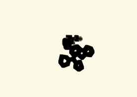 C1=CCC(C(c2cccc3c2Cc2ccccc2-3)C2CC=CCC2)=C1.[Cl-].[Cl-].[Zr+2]